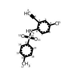 C#Cc1cc(Cl)ccc1NS(=O)(=O)c1ccc(C)cc1